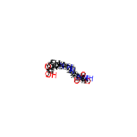 C[C@@H]1COc2cc(O)ccc2[C@@H]1c1ccc(N2CCC(CN3CCN(c4ccc5c(c4)CN([C@H]4CCC(=O)NC4=O)C5=O)CC3)CC2)cc1